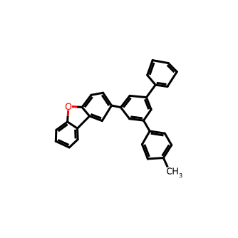 Cc1ccc(-c2cc(-c3ccccc3)cc(-c3ccc4oc5ccccc5c4c3)c2)cc1